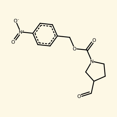 O=CC1CCN(C(=O)OCc2ccc([N+](=O)[O-])cc2)C1